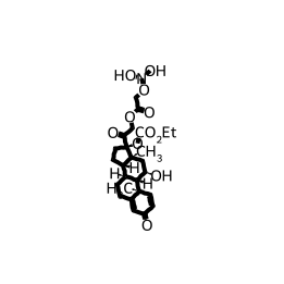 CCOC(=O)O[C@]1(C(=O)COC(=O)CON(O)O)CC[C@H]2[C@@H]3CCC4=CC(=O)C=C[C@]4(C)[C@H]3[C@@H](O)C[C@@]21C